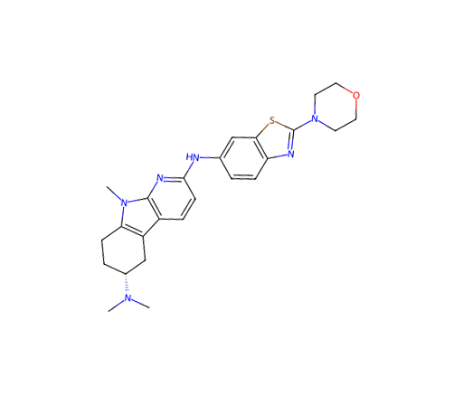 CN(C)[C@@H]1CCc2c(c3ccc(Nc4ccc5nc(N6CCOCC6)sc5c4)nc3n2C)C1